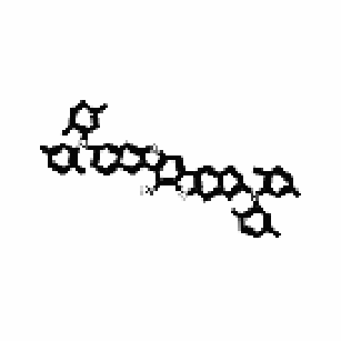 Cc1ccc(C)c(N(c2ccc3cc4c(cc3c2)oc2c(C(C)C)c3c(cc24)oc2cc4cc(N(c5cc(C)ccc5C)c5cc(C)ccc5C)ccc4cc23)c2cc(C)ccc2C)c1